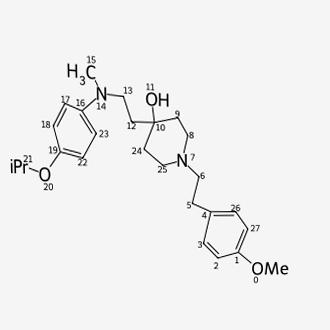 COc1ccc(CCN2CCC(O)(CCN(C)c3ccc(OC(C)C)cc3)CC2)cc1